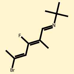 CC(/C=N/C(C)(C)C)=C(F)\C=C(/C)Br